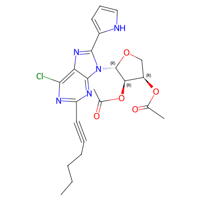 CCCCC#Cc1nc(Cl)c2nc(-c3ccc[nH]3)n([C@@H]3OC[C@@H](OC(C)=O)[C@H]3OC(C)=O)c2n1